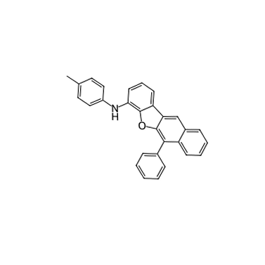 Cc1ccc(Nc2cccc3c2oc2c(-c4ccccc4)c4ccccc4cc23)cc1